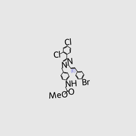 COC(=O)CNc1ccc(Cn2cc(-c3ccc(Cl)cc3Cl)nc2/C=C/c2ccc(Br)cc2)cc1